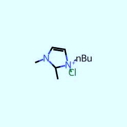 CCCC[N+]1(Cl)C=CN(C)C1C